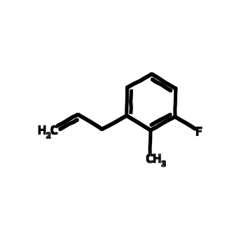 C=CCc1cccc(F)c1C